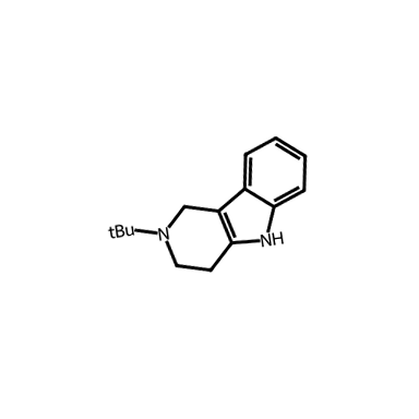 CC(C)(C)N1CCc2[nH]c3ccccc3c2C1